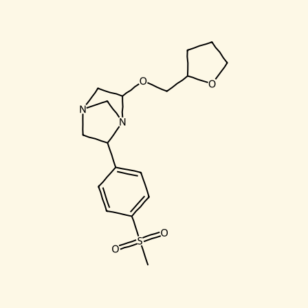 CS(=O)(=O)c1ccc(C2CN3CC(OCC4CCCO4)N2C3)cc1